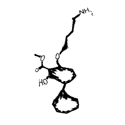 COC(=O)c1c(OCCCCN)ccc(-c2ccccc2)c1O